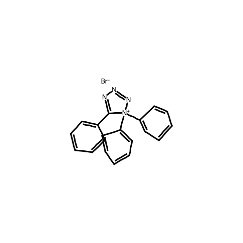 [Br-].c1ccc(C2=NN=N[N+]2(c2ccccc2)c2ccccc2)cc1